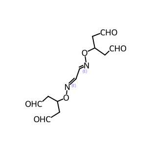 O=CCC(CC=O)O/N=C/C=N/OC(CC=O)CC=O